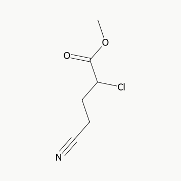 COC(=O)C(Cl)CCC#N